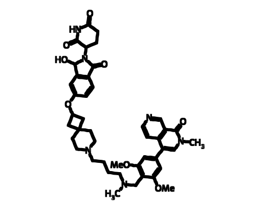 COc1cc(-c2cn(C)c(=O)c3cnccc23)cc(OC)c1CN(C)CCCCN1CCC2(CC1)CC(Oc1ccc3c(c1)C(O)N(C1CCC(=O)NC1=O)C3=O)C2